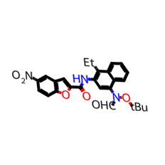 [CH2]Cc1c(NC(=O)c2cc3cc([N+](=O)[O-])ccc3o2)cc(N(C=O)OC(C)(C)C)c2ccccc12